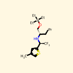 CC[Si](CC)(CC)OC[C@H](CC(C)C)N[C@H](c1cc(C)cs1)C(F)(F)F